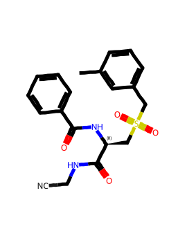 Cc1cccc(CS(=O)(=O)C[C@H](NC(=O)c2ccccc2)C(=O)NCC#N)c1